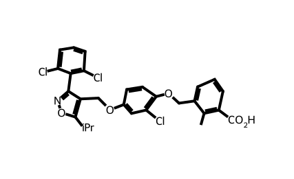 Cc1c(COc2ccc(OCc3c(-c4c(Cl)cccc4Cl)noc3C(C)C)cc2Cl)cccc1C(=O)O